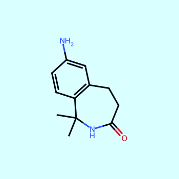 CC1(C)NC(=O)CCc2cc(N)ccc21